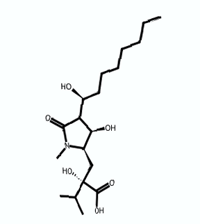 CCCCCCC[C@H](O)C1C(=O)N(C)[C@H](C[C@@](O)(C(=O)O)C(C)C)[C@@H]1O